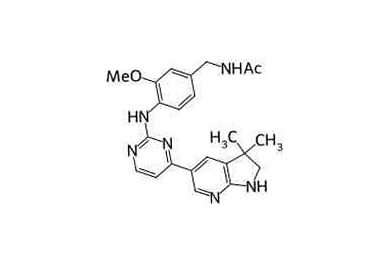 COc1cc(CNC(C)=O)ccc1Nc1nccc(-c2cnc3c(c2)C(C)(C)CN3)n1